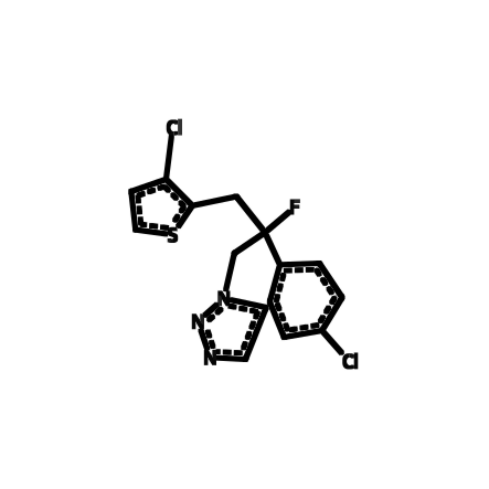 FC(Cc1sccc1Cl)(Cn1ccnn1)c1ccc(Cl)cc1